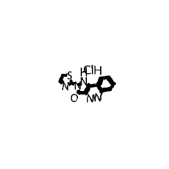 Cl.O=c1c2nnc3ccccc3c2[nH]n1C1N=CCS1